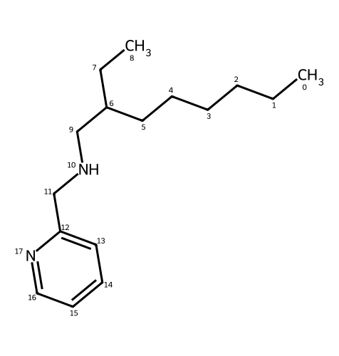 CCCCCCC(CC)CNCc1ccccn1